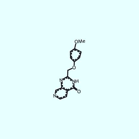 COc1ccc(OCc2nc3cnccc3c(=O)[nH]2)cc1